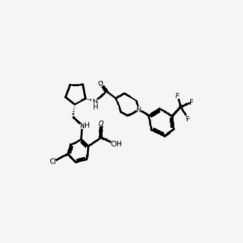 O=C(O)c1ccc(Cl)cc1NC[C@@H]1CCC[C@@H]1NC(=O)C1CCN(c2cccc(C(F)(F)F)c2)CC1